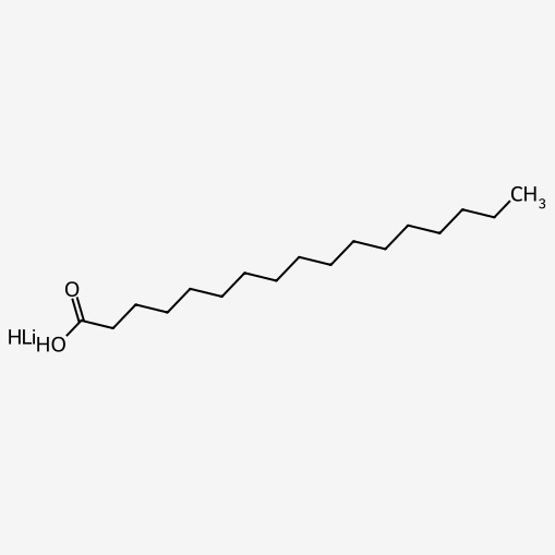 CCCCCCCCCCCCCCCCC(=O)O.[LiH]